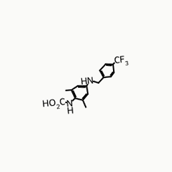 Cc1cc(NCc2ccc(C(F)(F)F)cc2)cc(C)c1NC(=O)O